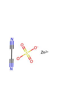 N#CC#N.O=S(=O)([O-])[O-].[Zn+2]